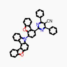 N#Cc1c(-c2ccccc2)nc(-c2ccc(-n3c4ccccc4c4c5c(ccc43)oc3ccccc35)c3oc4ccccc4c23)nc1-c1ccccc1